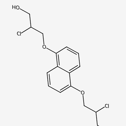 OCC(Cl)COc1cccc2c(OCC(Cl)CO)cccc12